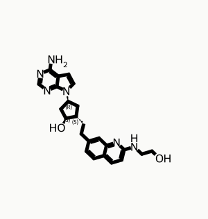 Nc1ncnc2c1ccn2[C@@H]1C[C@H](CCc2ccc3ccc(NCCO)nc3c2)[C@@H](O)C1